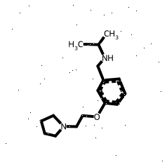 CC(C)NCc1cccc(OCCN2CCCC2)c1